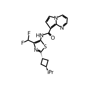 CC(C)[C@H]1C[C@H](c2nc(C(F)F)c(NC(=O)c3ccn4cccnc34)s2)C1